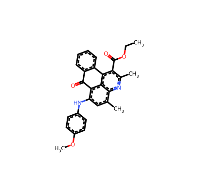 CCOC(=O)c1c(C)nc2c(C)cc(Nc3ccc(OC)cc3)c3c2c1-c1ccccc1C3=O